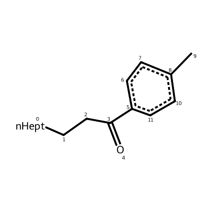 CCCCCCCCCC(=O)c1ccc(C)cc1